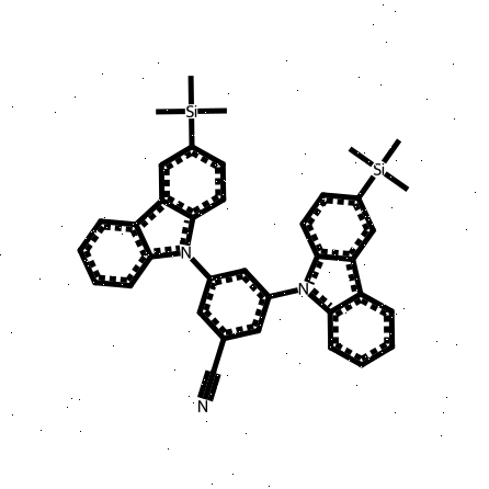 C[Si](C)(C)c1ccc2c(c1)c1ccccc1n2-c1cc(C#N)cc(-n2c3ccccc3c3cc([Si](C)(C)C)ccc32)c1